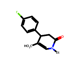 CCN1C=C(C(=O)O)C(c2ccc(F)cc2)CC1=O